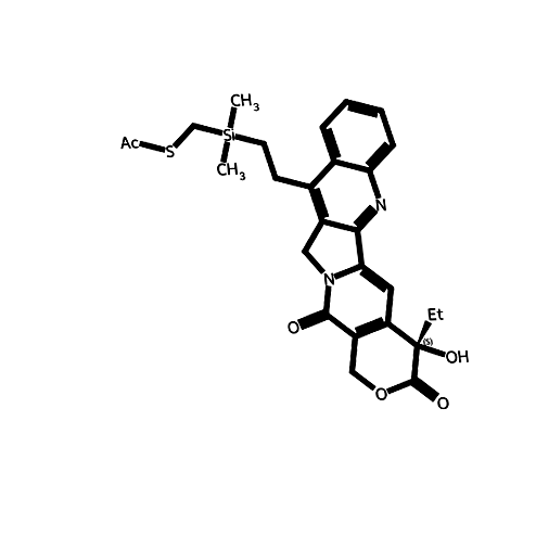 CC[C@@]1(O)C(=O)OCc2c1cc1n(c2=O)Cc2c-1nc1ccccc1c2CC[Si](C)(C)CSC(C)=O